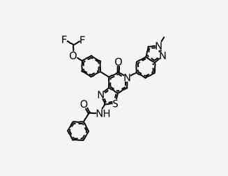 Cn1cc2cc(-n3cc4sc(NC(=O)c5ccccc5)nc4c(-c4ccc(OC(F)F)cc4)c3=O)ccc2n1